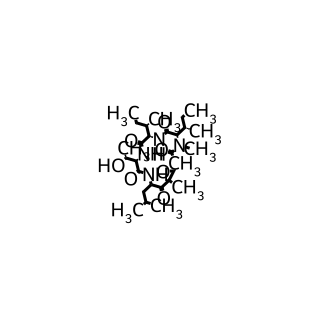 CC[C@H](C)[C@H](NC(=O)[C@H]([C@@H](C)CC)N(C)C(C)=O)C(=O)N[C@H](C(=O)NC(CC(C)C)C(=O)C1(C)CO1)[C@@H](C)O